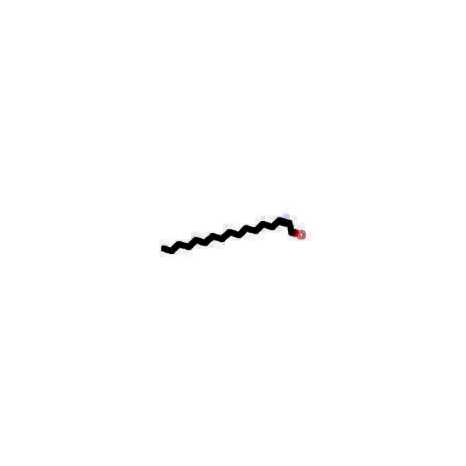 CCCCCCCCCCCCCC/C=C\C=O